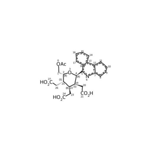 CC(=O)OC[C@@H]1O[C@@H](c2nc3ccccc3c3ccccc23)[C@@H](CC(=O)O)[C@@H](CC(=O)O)[C@@H]1CC(=O)O